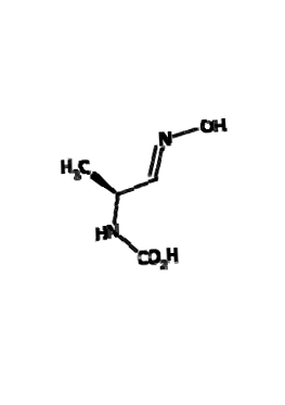 C[C@@H](C=NO)NC(=O)O